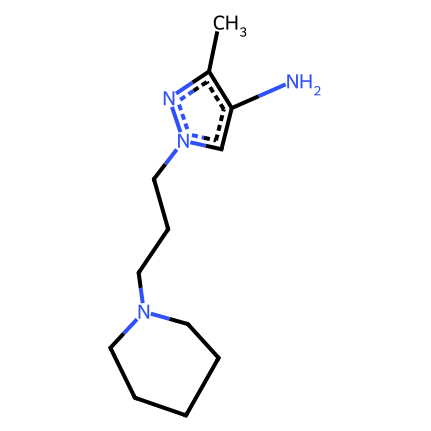 Cc1nn(CCCN2CCCCC2)cc1N